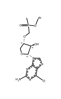 CC(C)OP(C)(=O)CO[C@H]1CO[C@@H](n2cnc3c(Cl)nc(N)nc32)[C@@H]1O